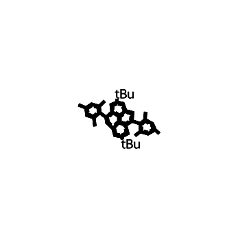 Cc1cc(C)c(-c2cc3cc(C(C)(C)C)cc4c(-c5c(C)cc(C)cc5C)cc5cc(C(C)(C)C)cc2c5c34)c(C)c1